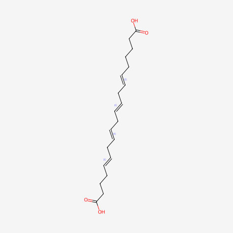 O=C(O)CCC/C=C/C/C=C/C/C=C/C/C=C/CCCCC(=O)O